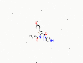 COc1ccc(-c2cc(C(=O)NC3CCNCC3)c(NC(=O)[AsH2])s2)cc1